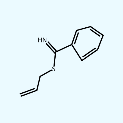 C=CCSC(=N)c1ccccc1